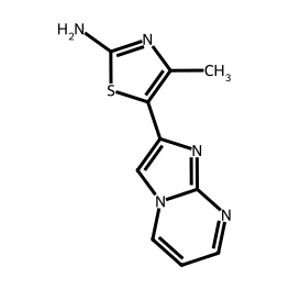 Cc1nc(N)sc1-c1cn2cccnc2n1